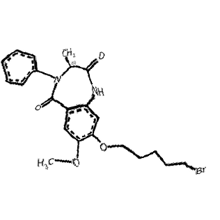 COc1cc2c(cc1OCCCCCBr)NC(=O)[C@H](C)N(c1ccccc1)C2=O